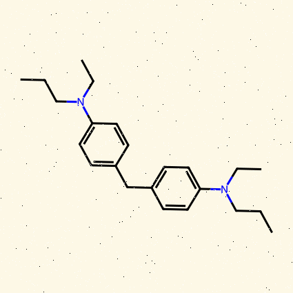 CCCN(CC)c1ccc(Cc2ccc(N(CC)CCC)cc2)cc1